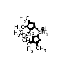 CC1=CC(C)[C]([Zr+2]([C]2=C(C)C=C(C)C2C)=[Ge]([CH3])[CH3])=C1C.[Cl-].[Cl-]